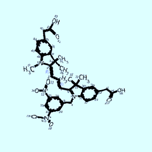 CN1/C(=C/C=C/C2=[N+](Cc3cc([N+](=O)[O-])cc([N+](=O)[O-])c3)c3ccc(CC(=O)O)cc3C2(C)C)C(C)(C)c2cc(CC(=O)O)ccc21